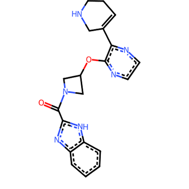 O=C(c1nc2ccccc2[nH]1)N1CC(Oc2nccnc2C2=CCCNC2)C1